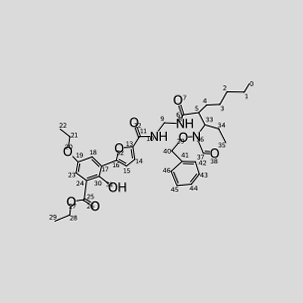 CCCCCC(C(=O)NCNC(=O)c1ccc(-c2cc(OCC)cc(C(=O)OCC)c2O)o1)C(CC)N(C=O)OCc1ccccc1